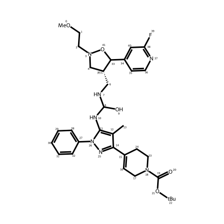 COCCN1C[C@@H](CNC(O)Nc2c(C)c(C3=CCN(C(=O)OC(C)(C)C)CC3)nn2-c2ccccc2)C(c2ccnc(F)c2)O1